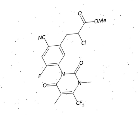 COC(=O)C(Cl)Cc1cc(-n2c(=O)c(C)c(C(F)(F)F)n(C)c2=O)c(F)cc1C#N